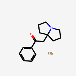 Br.O=C(CC12CCCN1CCC2)c1ccccc1